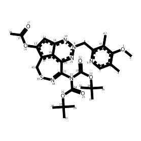 COc1c(C)cnc(Cn2nc3cc(OC(C)=O)c4c-3c(n2)C(N(C(=O)OC(C)(C)C)C(=O)OC(C)(C)C)=NSC4)c1C